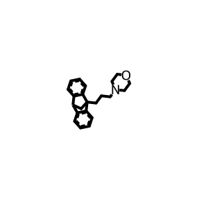 c1ccc2c(c1)C1CC2(CCCN2CCOCC2)c2ccccc21